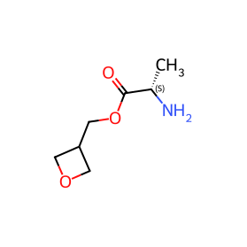 C[C@H](N)C(=O)OCC1COC1